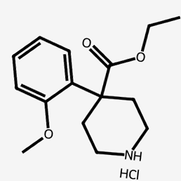 CCOC(=O)C1(c2ccccc2OC)CCNCC1.Cl